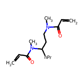 C=CC(=O)N(C)CCC(CCC)N(C)C(=O)C=C